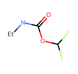 CC[N]C(=O)OC(F)F